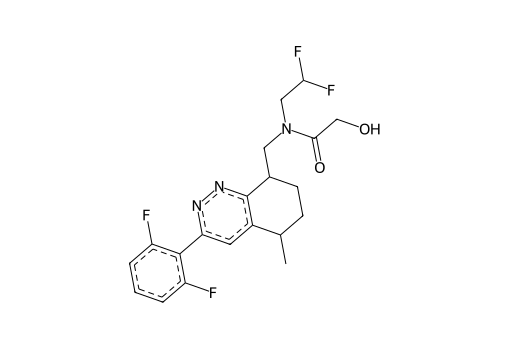 CC1CCC(CN(CC(F)F)C(=O)CO)c2nnc(-c3c(F)cccc3F)cc21